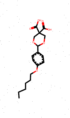 CCCCCCOc1ccc(C2OCC(C(=O)O)(C(=O)O)CO2)cc1